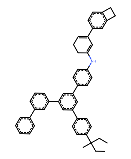 CCC(C)(CC)c1ccc(-c2cc(-c3ccc(NC4=CC(c5ccc6c(c5)CC6)=CCC4)cc3)cc(-c3cccc(-c4ccccc4)c3)c2)cc1